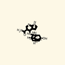 NC(=O)c1cnc2[nH]ccc2c1N[C@@H]1[C@@H]2C[C@@H]3C[C@H]1C[C@@](O)(C3)C2